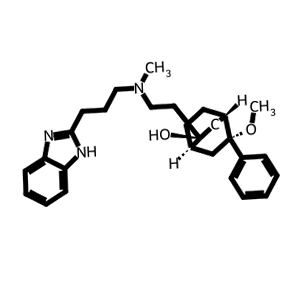 CO[C@]1(c2ccccc2)C[C@H]2CC[C@H]1C[C@@]2(O)CCN(C)CCCc1nc2ccccc2[nH]1